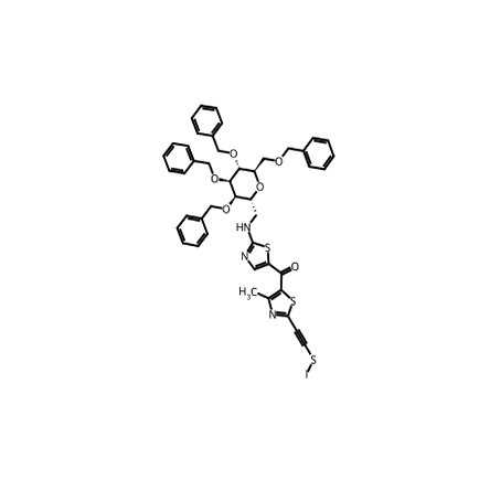 Cc1nc(C#CSI)sc1C(=O)c1cnc(NC[C@H]2O[C@H](COCc3ccccc3)[C@@H](OCc3ccccc3)[C@H](OCc3ccccc3)[C@@H]2OCc2ccccc2)s1